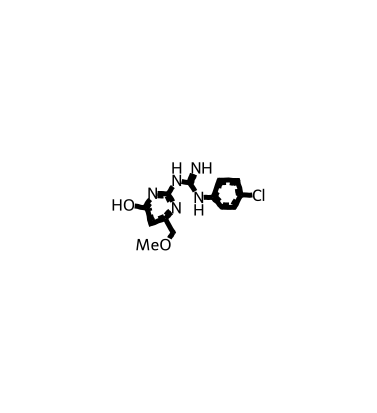 COCc1cc(O)nc(NC(=N)Nc2ccc(Cl)cc2)n1